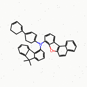 CC1(C)c2ccccc2-c2c(N(C3=CC=C(C4=CC=CCC4)CC3)c3cccc4c3oc3ccc5ccccc5c34)cccc21